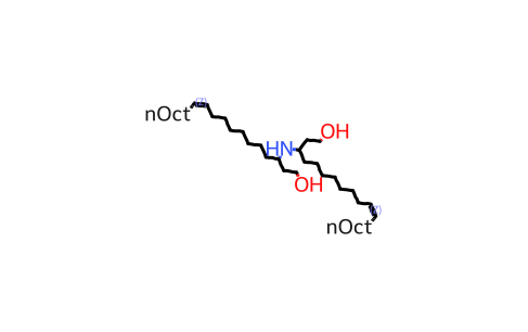 CCCCCCCC/C=C\CCCCCCCC(CCO)NC(CCO)CCCCCCC/C=C\CCCCCCCC